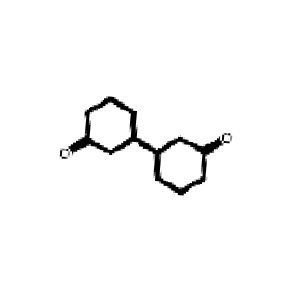 O=C1CCCC(C2CCCC(=O)C2)C1